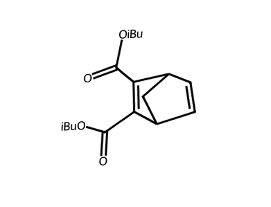 CC(C)COC(=O)C1=C(C(=O)OCC(C)C)C2C=CC1C2